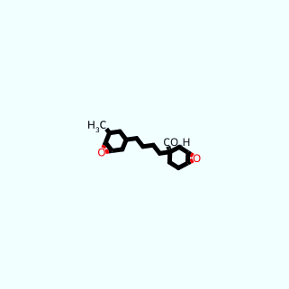 CC1CC(CCCCC2(C(=O)O)CCC3OC3C2)CC2OC12